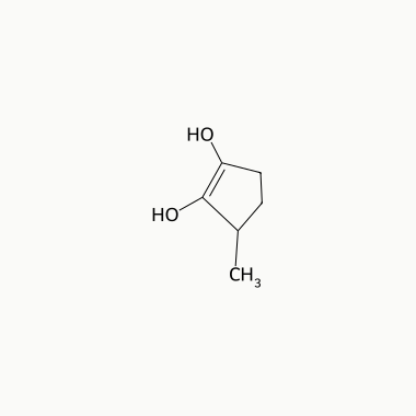 CC1CCC(O)=C1O